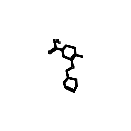 CC1=C(OCC2CC=CCC2)CC(C(N)=O)CC1